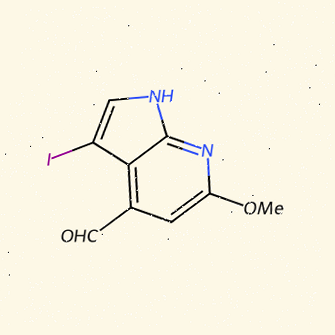 COc1cc(C=O)c2c(I)c[nH]c2n1